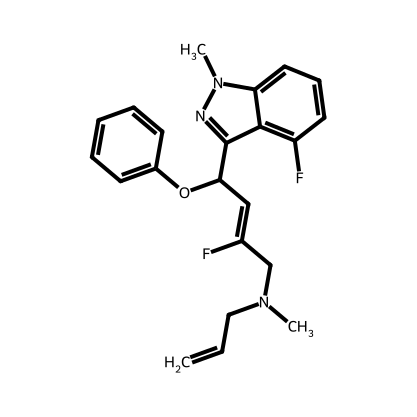 C=CCN(C)CC(F)=CC(Oc1ccccc1)c1nn(C)c2cccc(F)c12